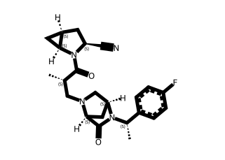 C[C@@H](CN1C[C@@H]2C[C@H]1C(=O)N2[C@@H](C)c1ccc(F)cc1)C(=O)N1[C@H](C#N)C[C@@H]2C[C@@H]21